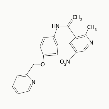 C=C(Nc1ccc(OCc2ccccn2)cc1)c1cc([N+](=O)[O-])cnc1C